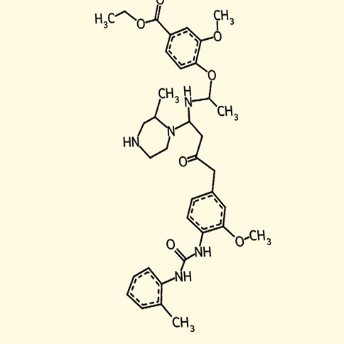 CCOC(=O)c1ccc(OC(C)NC(CC(=O)Cc2ccc(NC(=O)Nc3ccccc3C)c(OC)c2)N2CCNCC2C)c(OC)c1